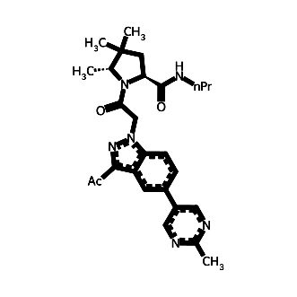 CCCNC(=O)[C@@H]1CC(C)(C)[C@@H](C)N1C(=O)Cn1nc(C(C)=O)c2cc(-c3cnc(C)nc3)ccc21